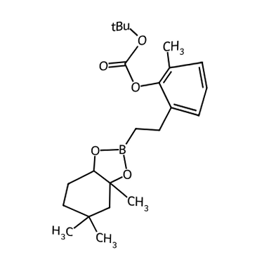 Cc1cccc(CCB2OC3CCC(C)(C)CC3(C)O2)c1OC(=O)OC(C)(C)C